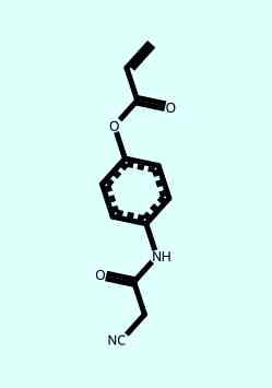 C=CC(=O)Oc1ccc(NC(=O)CC#N)cc1